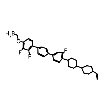 BCOc1ccc(-c2ccc(-c3ccc(C4CCC(C5CCC(C=C)CC5)CC4)c(F)c3)cc2)c(F)c1F